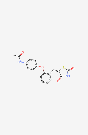 CC(=O)Nc1ccc(Oc2ccccc2C=C2SC(=O)NC2=O)cc1